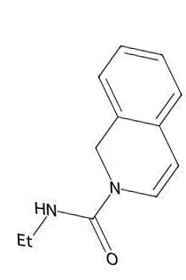 CCNC(=O)N1C=Cc2ccccc2C1